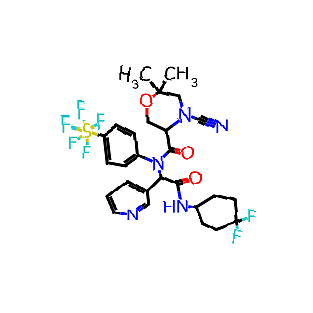 CC1(C)CN(C#N)C(C(=O)N(c2ccc(S(F)(F)(F)(F)F)cc2)C(C(=O)NC2CCC(F)(F)CC2)c2cccnc2)CO1